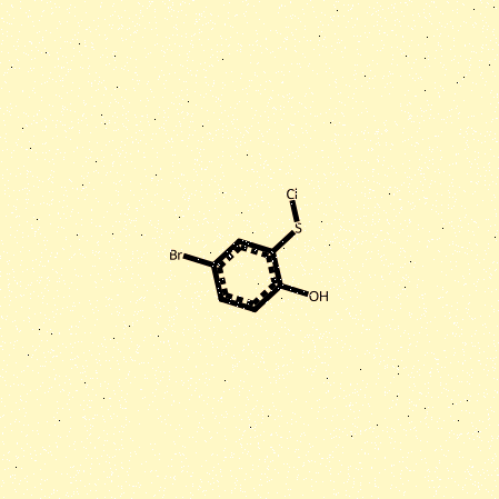 Oc1ccc(Br)cc1SCl